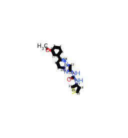 COc1cccc(-c2ccc3nc(NC(=O)Nc4ccsc4)cn3n2)c1